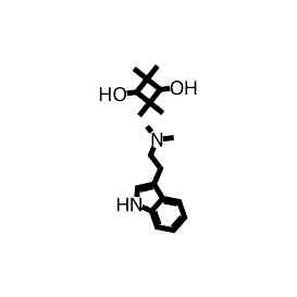 CC1(C)C(O)C(C)(C)C1O.CN(C)CCc1c[nH]c2ccccc12